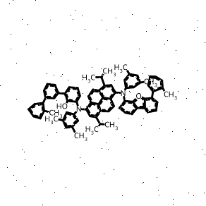 Cc1cc(C)cc(N(c2cccc(-c3cccc(-c4ccccc4C)c3)c2O)c2cc(C(C)C)c3ccc4c(N(c5cc(C)cc(C)c5)c5cccc6c5oc5c(-c7ccccc7C)cccc56)cc(C(C)C)c5ccc2c3c54)c1